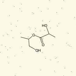 CC(CO)OC(=O)C(C)O